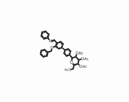 CC(=O)OCC1OC(c2ccc(-c3ccc(/C=N/c4ccccc4)c(OCc4ccccc4)c3)cc2)C(OC(C)=O)C(OC(C)=O)C1OC(C)=O